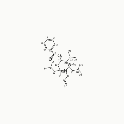 C=CCN1C(C)(CC(C)C)CC(OC(=O)c2ccccc2)C(C(C)C)C1(C)CC(C)C